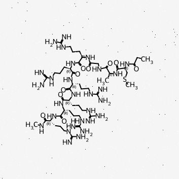 CCC(=O)N[C@@H](CSC)C(=O)N[C@@H](C)C(=O)NCC(=O)N[C@H](CCCNC(=N)N)C(=O)N[C@H](CCCNC(=N)N)C(=O)N[C@H](CCCNC(=N)N)C(=O)N[C@H](CCCNC(=N)N)C(=O)N[C@H](CCCNC(=N)N)C(=O)N[C@H](CCCNC(=N)N)C(=O)NC